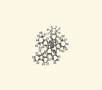 CC1(C)CCC(C)(C)c2cc(Nc3cc4c(cc3-c3cc(-c5cccc6c5C(C)(C)c5ccccc5-6)c5c6ccccc6n6c5c3Bc3cc5c(cc3-6)C(C)(C)CCC5(C)C)C(C)(C)CCC4(C)C)ccc21